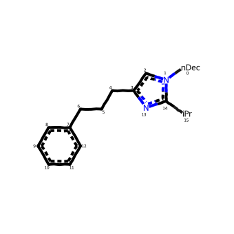 CCCCCCCCCCn1cc(CCCc2ccccc2)nc1C(C)C